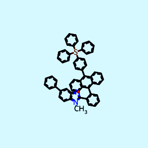 Cn1c(-c2ccccc2-c2c3ccccc3c(-c3ccc(S(c4ccccc4)(c4ccccc4)c4ccccc4)cc3)c3ccccc23)nc2cc(-c3ccccc3)ccc21